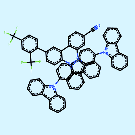 N#Cc1ccc(-c2cc(-c3ccc(C(F)(F)F)cc3C(F)(F)F)ccc2-n2c3ccccc3c3cc(-n4c5ccccc5c5ccccc54)ccc32)c(-n2c3ccccc3c3cc(-n4c5ccccc5c5ccccc54)ccc32)c1